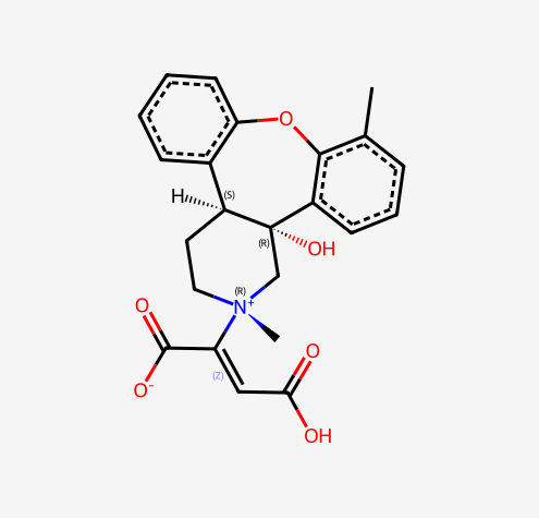 Cc1cccc2c1Oc1ccccc1[C@@H]1CC[N@@+](C)(/C(=C\C(=O)O)C(=O)[O-])C[C@]21O